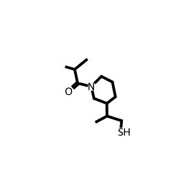 CC(C)C(=O)N1CCCC(C(C)CS)C1